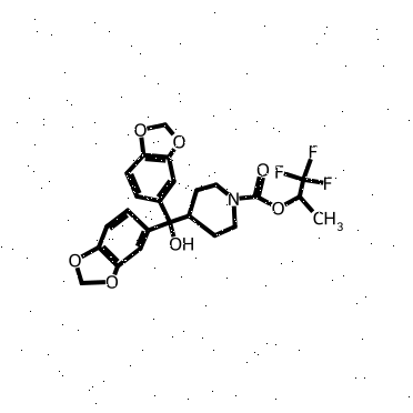 CC(OC(=O)N1CCC(C(O)(c2ccc3c(c2)OCO3)c2ccc3c(c2)OCO3)CC1)C(F)(F)F